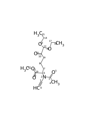 C#CN(C(C)=O)C(CCCC(=O)C(OCC)OCC)C(=O)OC